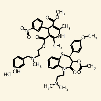 COC(=O)C1=C(C)NC(C)=C(C(=O)OCCN(C)Cc2ccccc2)C1c1cccc([N+](=O)[O-])c1.COc1ccc([C@@H]2Sc3ccccc3N(CCN(C)C)C(=O)[C@@H]2OC(C)=O)cc1.Cl.Cl